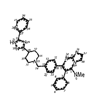 CNc1c(-c2ccccc2)c(-c2ccc(CN3CCC(c4n[nH]c(-c5ccccn5)n4)CC3)cc2)nc2nccn12